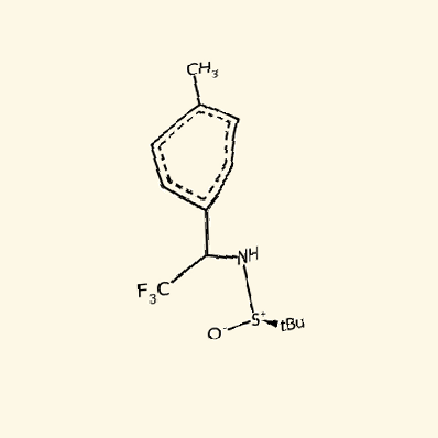 Cc1ccc(C(N[S@+]([O-])C(C)(C)C)C(F)(F)F)cc1